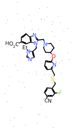 CCn1cncc1Cn1c(CN2CCC(Oc3cccc(CSCc4ccc(C#N)cc4F)n3)CC2)nc2ccc(C(=O)O)cc21